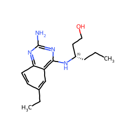 CCC[C@@H](CCO)Nc1nc(N)nc2ccc(CC)cc12